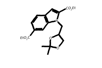 CCOC(=O)c1ccc2cc(C(=O)OCC)n(CC3COC(C)(C)O3)c2c1